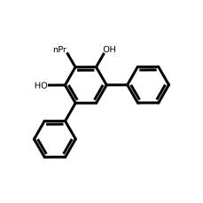 CCCc1c(O)c(-c2ccccc2)cc(-c2ccccc2)c1O